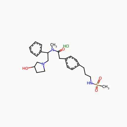 CN(C(=O)Cc1ccc(CCCNS(C)(=O)=O)cc1)C(CN1CCC(O)C1)c1ccccc1.Cl